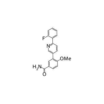 COc1ccc(C(N)=O)cc1-c1ccc(-c2ccccc2F)nc1